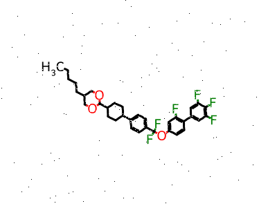 CCCCCC1COC(C2CCC(c3ccc(C(F)(F)Oc4ccc(-c5cc(F)c(F)c(F)c5)c(F)c4)cc3)CC2)OC1